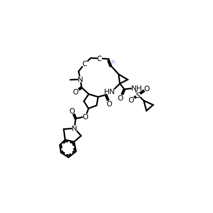 CN1CCCC/C=C/C2CC2(C(=O)NS(=O)(=O)C2CC2)NC(=O)C2CC(OC(=O)N3Cc4ccccc4C3)CC2C1=O